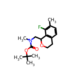 Cc1ccc2c(c1F)C(CN(C)C(=O)OC(C)(C)C)OCC2